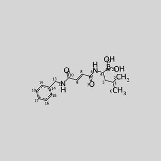 CC(C)CC(NC(=O)C=CC(=O)NCc1ccccc1)B(O)O